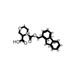 O=C(O)C1COCCN1C(=O)OCc1cccc2c1Cc1ccccc1-2